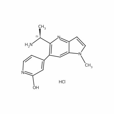 C[C@H](N)c1nc2ccn(C)c2cc1-c1ccnc(O)c1.Cl